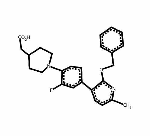 Cc1ccc(-c2ccc(N3CCC(CC(=O)O)CC3)c(F)c2)c(OCc2ccccc2)n1